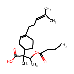 CCCC(=O)OC(C)C(C)(C(=O)O)C1CC=C(CCC=C(C)C)CC1